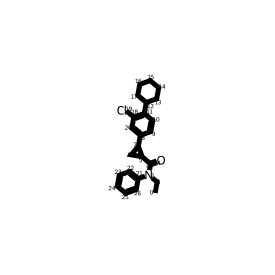 CCN(C(=O)C1CC1c1ccc(C2CCCCC2)c(Cl)c1)c1ccccc1